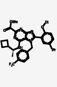 CCOc1ccc(C(C)C)cc1-c1nc2nc(C(=O)OC)nc(N[C@H](C)C3CCC3)c2n1Cc1ccc(C(F)(F)F)cc1